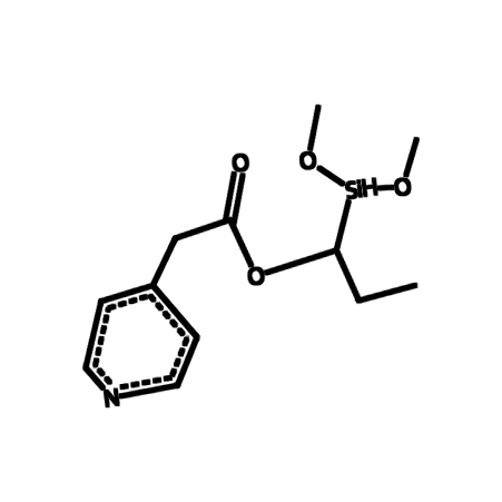 CCC(OC(=O)Cc1ccncc1)[SiH](OC)OC